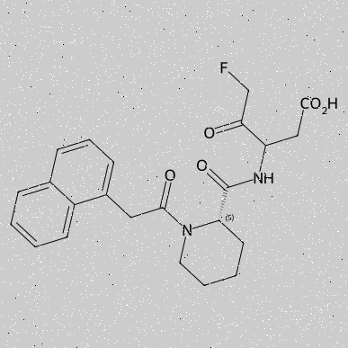 O=C(O)CC(NC(=O)[C@@H]1CCCCN1C(=O)Cc1cccc2ccccc12)C(=O)CF